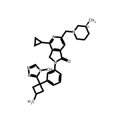 CC1CC(c2cccc(N3Cc4c(cc(CN5CCC[C@H](C)C5)nc4C4CC4)C3=O)c2)(c2nncn2C)C1